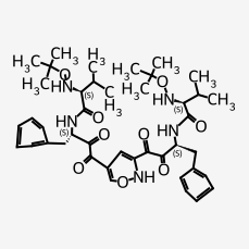 CC(C)[C@H](NOC(C)(C)C)C(=O)N[C@@H](Cc1ccccc1)C(=O)C(=O)C1=CONC(C(=O)C(=O)[C@H](Cc2ccccc2)NC(=O)[C@@H](NOC(C)(C)C)C(C)C)=C1